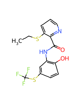 CCSc1cccnc1C(=O)Nc1cc(SC(F)(F)F)ccc1O